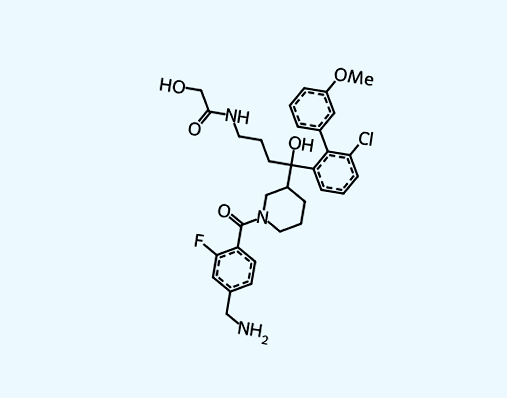 COc1cccc(-c2c(Cl)cccc2C(O)(CCCNC(=O)CO)C2CCCN(C(=O)c3ccc(CN)cc3F)C2)c1